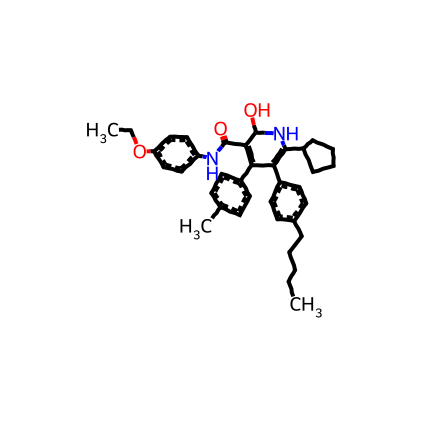 CCCCCc1ccc(C2=C(C3CCCC3)NC(O)C(C(=O)Nc3ccc(OCC)cc3)=C2c2ccc(C)cc2)cc1